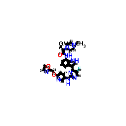 COC[C@H](C(=O)Nc1cccc2c(-c3nc(Nc4ccc(OCc5ncco5)nc4)ncc3F)c[nH]c12)N1CCN(C)CC1